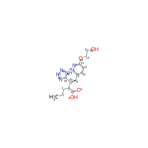 CCCC(C(=O)O)[C@H](Cc1ccc(OCCO)nc1)c1nnn[nH]1